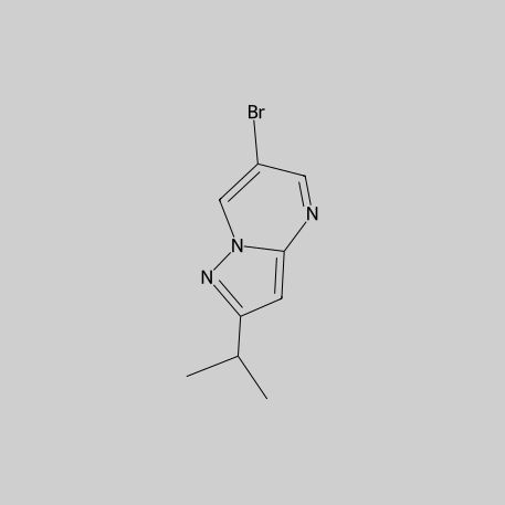 CC(C)c1cc2ncc(Br)cn2n1